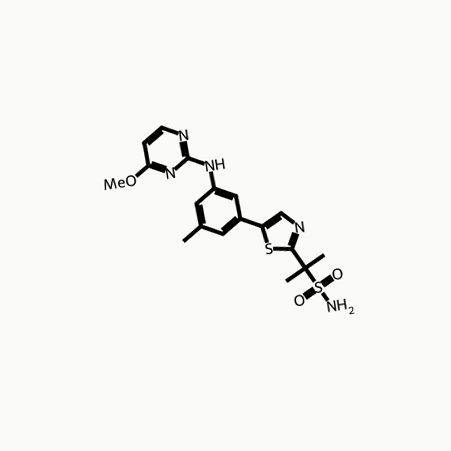 COc1ccnc(Nc2cc(C)cc(-c3cnc(C(C)(C)S(N)(=O)=O)s3)c2)n1